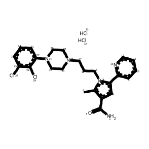 Cc1c(C(N)=O)cc(-c2ccccn2)n1CCCN1CCN(c2cccc(Cl)c2Cl)CC1.Cl.Cl